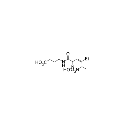 CCC(=CC(=NO)C(=O)NCCCC(=O)O)C(C)[N+](=O)[O-]